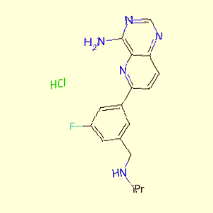 CC(C)NCc1cc(F)cc(-c2ccc3ncnc(N)c3n2)c1.Cl